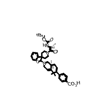 C[C@@H](NC(=O)OC(C)(C)C)C(=O)N1CCC(C(=O)N2CC=C3C(C)(C)C(c4ccc(C(=O)O)cc4)=CC[C@]3(C)C2)(c2ccccc2)CC1